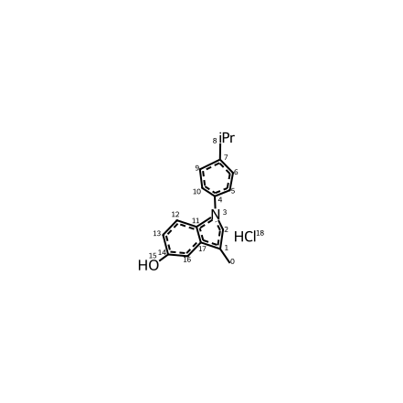 Cc1cn(-c2ccc(C(C)C)cc2)c2ccc(O)cc12.Cl